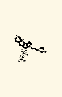 COS(=O)(=O)[O-].COS(=O)(=O)[O-].C[n+]1ccc(Cc2ccc3c(ccn3CCCn3cc[n+](C)c3)c2O)cc1